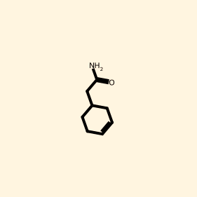 NC(=O)CC1CC=CCC1